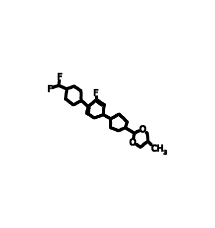 CC1COC(C2CCC(C3C=C(F)C(C4CCC(C(F)F)CC4)=CC3)CC2)OC1